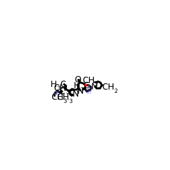 C=C1CCCN(C(/C=C\C2=NC(c3cc(C(=C=C(C)/C(C)=C\C)CC)ccn3)=CC(=O)C(=C)C2)=C/C)CC1